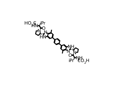 Cc1cc(-c2ccc(-c3cc(C)c4nc([C@@H]5CCCN5C(=O)[C@@H](NC(=O)O)C(C)C)[nH]c4c3)cc2)cc2[nH]c([C@@H]3CCCN3C(=O)[C@@H](NC(=O)O)C(C)C)nc12